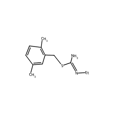 CC/N=C(\N)SCc1cc(C)ccc1C